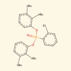 CCCCc1cccc(OP(=O)(Oc2cccc(CCCC)c2CCCC)c2ccccc2CC)c1CCCC